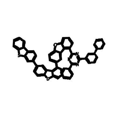 c1ccc(-c2cccc(-c3nc(-c4ccccc4)nc(-c4cccc5oc6ccc(-c7cccc8oc9ccc(-c%10ccc%11c(c%10)sc%10ccccc%10%11)cc9c78)cc6c45)n3)c2)cc1